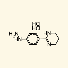 Cl.Cl.NNc1ccc(C2=NCCCN2)cc1